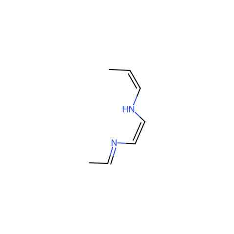 C/C=C\N/C=C\N=C\C